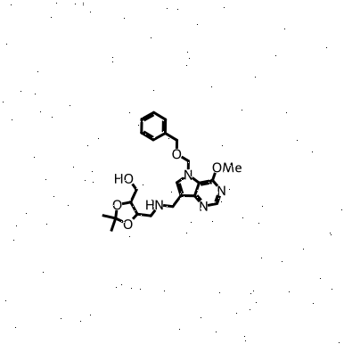 COc1ncnc2c(CNCC3OC(C)(C)OC3CO)cn(COCc3ccccc3)c12